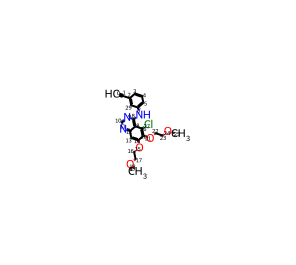 C#Cc1cccc(Nc2ncnc3cc(OCCOC)c(OCCOC)c(Cl)c23)c1